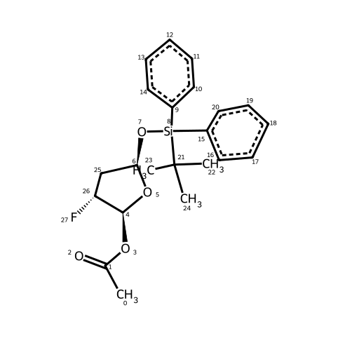 CC(=O)O[C@@H]1O[C@H](O[Si](c2ccccc2)(c2ccccc2)C(C)(C)C)C[C@H]1F